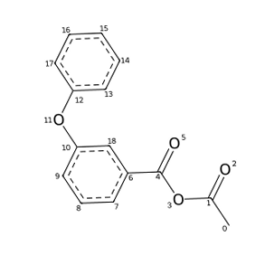 CC(=O)OC(=O)c1cccc(Oc2ccccc2)c1